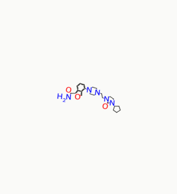 NC(=O)c1occ2c(N3CCN(CCN4CCN(C5CCCC5)C4=O)CC3)cccc12